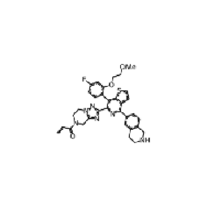 C=CC(=O)N1CCn2nc(-c3nc(-c4ccc5c(c4)CCNC5)c4ccsc4c3-c3ccc(F)cc3OCCOC)nc2C1